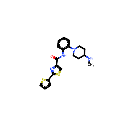 CNC1CCN(c2ccccc2NC(=O)c2csc(-c3cccs3)n2)CC1